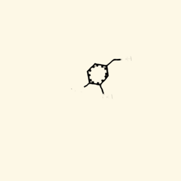 CC(=O)Oc1ccc(CO)cc1O